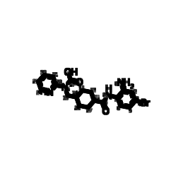 Nc1cc(Br)ccc1NC(=O)C1CCC(CN(C(=O)O)c2ccccn2)CC1